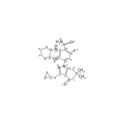 CC1(C)CC(=O)c2c(CC3CC3)nn(-c3cc(F)c(C(N)=O)c(NC4CCCCC4O)c3)c2C1